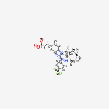 Cc1cc2c(cc1CCC(=O)O)nc(Nc1ccc(C(F)(F)F)cc1)n2C1CC12C[C@H](C)CC(C)(C)C2